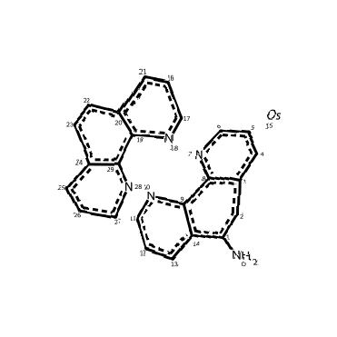 Nc1cc2cccnc2c2ncccc12.[Os].c1cnc2c(c1)ccc1cccnc12